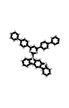 c1ccc(-c2ccc(-c3cc(-c4ccc(-c5ccccc5)cc4)nc(-n4c5ccccc5c5cc6c(cc54)oc4ccccc46)n3)cc2)cc1